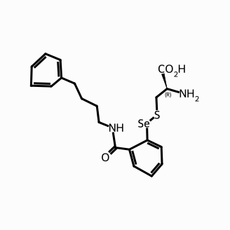 N[C@@H](CS[Se]c1ccccc1C(=O)NCCCCc1ccccc1)C(=O)O